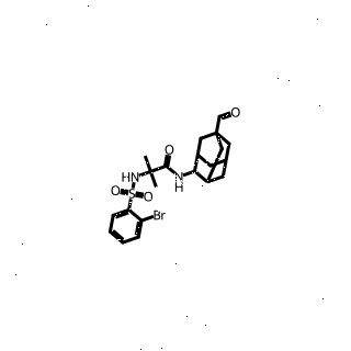 CC(C)(NS(=O)(=O)c1ccccc1Br)C(=O)NC1C2CC3CC1CC(C=O)(C3)C2